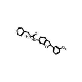 COc1cccc(C2Cc3ccc(NC(=O)NCc4ccncc4)cc3O2)c1